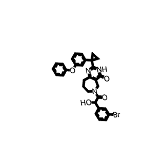 O=C(C(O)c1cccc(Br)c1)N1CCCc2nc(C3(c4cccc(Oc5ccccc5)c4)CC3)[nH]c(=O)c2C1